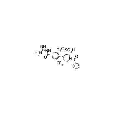 CS(=O)(=O)O.N=C(N)NC(=O)c1ccc(N2CCN(C(=O)c3ccco3)CC2)c(C(F)(F)F)c1